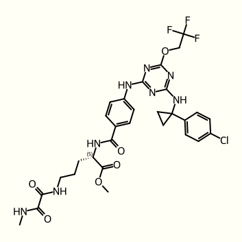 CNC(=O)C(=O)NCCC[C@H](NC(=O)c1ccc(Nc2nc(NC3(c4ccc(Cl)cc4)CC3)nc(OCC(F)(F)F)n2)cc1)C(=O)OC